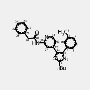 CCC(C)c1nc(-c2cccc(C)c2)c(-c2ccnc(NC(=O)Cc3ccccc3)c2)s1